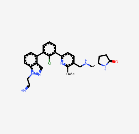 COc1nc(-c2cccc(-c3cccc4c3cnn4CC=N)c2Cl)ccc1CNC[C@@H]1CCC(=O)N1